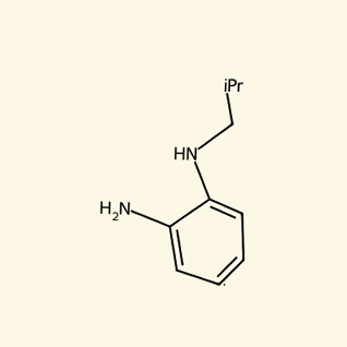 CC(C)CNc1cc[c]cc1N